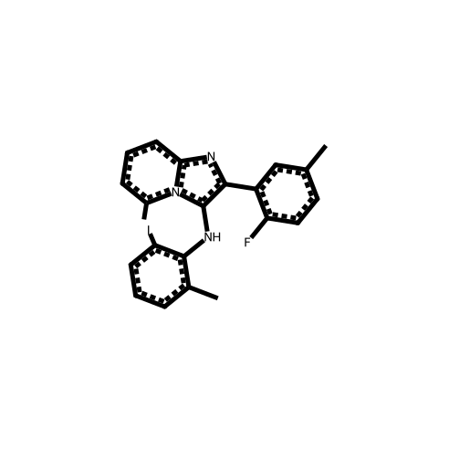 Cc1ccc(F)c(-c2nc3cccc(C)n3c2Nc2c(C)cccc2I)c1